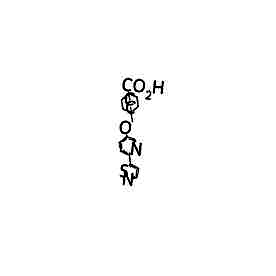 O=C(O)C12CCC(COc3ccc(-c4ccns4)nc3)(CC1)CC2